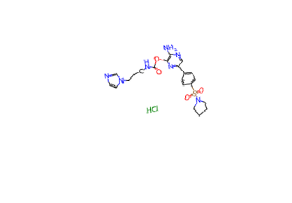 Cl.Nc1ncc(-c2ccc(S(=O)(=O)N3CCCC3)cc2)nc1OC(=O)NCCCn1ccnc1